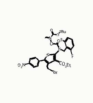 CCOC(=O)c1c(N(Cc2c(F)cccc2F)C(=O)ON(C)C(=O)OC(C)(C)C)sc(-c2ccc([N+](=O)[O-])cc2)c1CBr